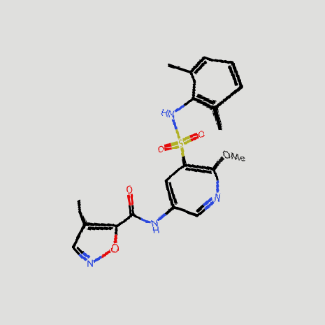 COc1ncc(NC(=O)c2oncc2C)cc1S(=O)(=O)Nc1c(C)cccc1C